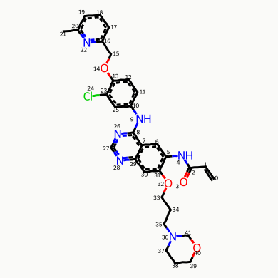 C=CC(=O)Nc1cc2c(Nc3ccc(OCc4cccc(C)n4)c(Cl)c3)ncnc2cc1OCCCN1CCCOC1